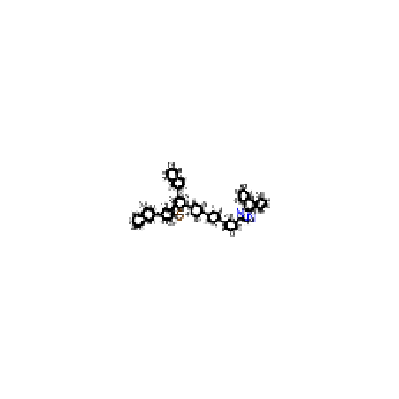 c1cc(-c2ccc(-c3ccc(-c4cc(-c5ccc6ccccc6c5)cc5c4sc4ccc(-c6ccc7ccccc7c6)cc45)cc3)cc2)cc(-c2cnc3c4ccccc4c4ccccc4c3n2)c1